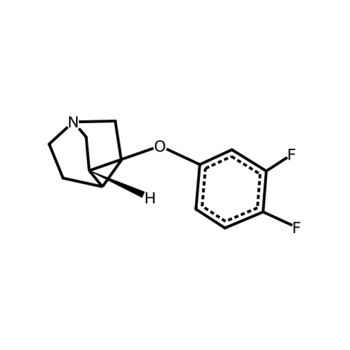 Fc1ccc(O[C@H]2CN3CCC2CC3)cc1F